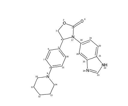 O=C1OCC(c2ccc(N3CCCCC3)cc2)N1c1ccc2[nH]cnc2c1